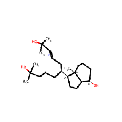 CC(C)(O)CCCC(C/C=C/C(O)(C(F)(F)F)C(F)(F)F)[C@H]1CCC2[C@@H](O)CCC[C@@]21C